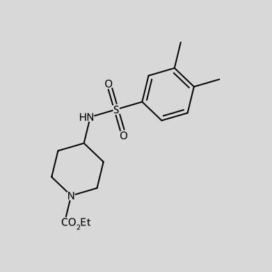 CCOC(=O)N1CCC(NS(=O)(=O)c2ccc(C)c(C)c2)CC1